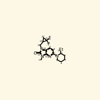 CCC1CCCCN1c1ccc2c(n1)n(C)c(=O)n2CC1CC1(F)F